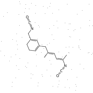 C/C(=C\C=C(/C)N=C=O)CC1=CCCC(CN=C=O)=C1